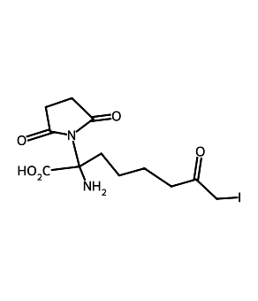 NC(CCCCC(=O)CI)(C(=O)O)N1C(=O)CCC1=O